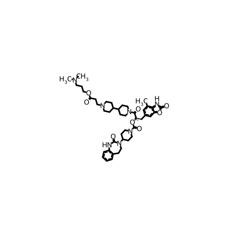 Cc1cc(C[C@@H](OC(=O)N2CCC(N3CCc4ccccc4NC3=O)CC2)C(=O)N2CCC(C3CCN(CCC(=O)OCCCN(C)C)CC3)CC2)cc2oc(=O)[nH]c12